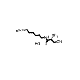 CCCCCCCCCCCCCCNC(=O)[C@@H](N)CO.Cl